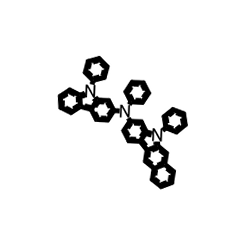 c1ccc(N(c2ccc3c4ccccc4n(-c4ccccc4)c3c2)c2ccc3c4cc5ccccc5cc4n(-c4ccccc4)c3c2)cc1